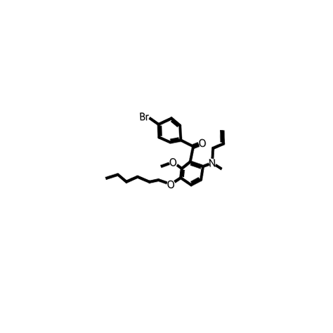 C=CCN(C)c1ccc(OCCCCCC)c(OC)c1C(=O)c1ccc(Br)cc1